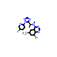 CC(c1ncnn1-c1ccc(F)cn1)N(C)c1ncnc2c(Br)cc(C(F)(F)F)cc12